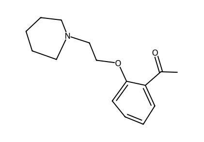 CC(=O)c1ccccc1OCCN1CCCCC1